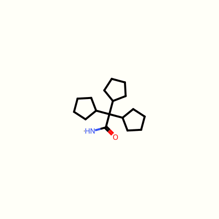 [NH]C(=O)C(C1CCCC1)(C1CCCC1)C1CCCC1